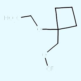 O=C(O)COC1(COC(F)(F)F)CCC1